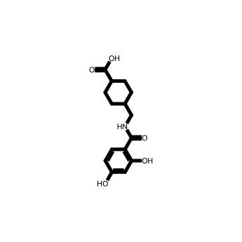 O=C(NCC1CCC(C(=O)O)CC1)c1ccc(O)cc1O